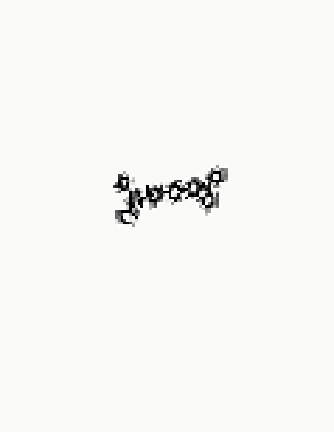 c1ccc(-c2cc(-c3ccccn3)nc(-c3ccc(-c4ccc(-c5ccc6c(c5)c5ccccc5n6-c5ccccc5)cc4)cn3)c2)cc1